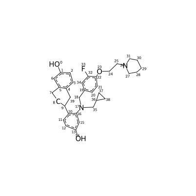 Oc1ccc2c(c1)CCC(c1ccc(O)cc1N(Cc1ccc(OCCN3CCCCC3)c(F)c1)CC1CC1)C2